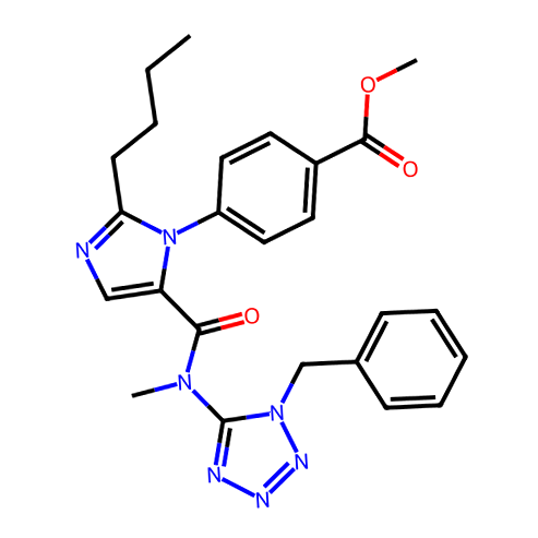 CCCCc1ncc(C(=O)N(C)c2nnnn2Cc2ccccc2)n1-c1ccc(C(=O)OC)cc1